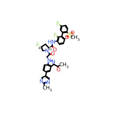 CC(=O)c1nn(CC(=O)N2C[C@H](F)C[C@H]2C(=O)Nc2cccc(-c3cc(F)ccc3S(C)(=O)=O)c2F)c2ccc(-c3cnc(C)nc3)cc12